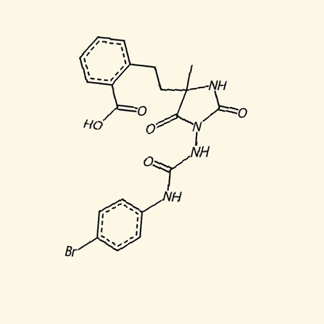 CC1(CCc2ccccc2C(=O)O)NC(=O)N(NC(=O)Nc2ccc(Br)cc2)C1=O